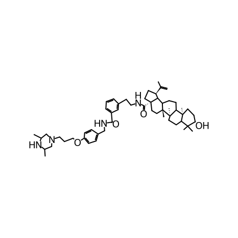 C=C(C)[C@@H]1CC[C@]2(C(=O)NCCc3cccc(C(=O)NCc4ccc(OCCCN5CC(C)NC(C)C5)cc4)c3)CC[C@]3(C)C(CCC4[C@@]5(C)CC[C@H](O)C(C)(C)C5CC[C@]43C)C12